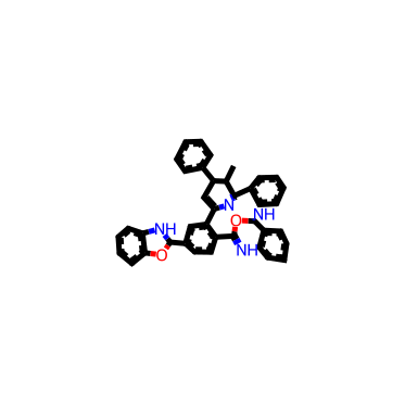 CC1C(c2ccccc2)=NC(c2cc(C3Nc4ccccc4O3)ccc2C(=N)OC(=N)c2ccccc2)=CC1c1ccccc1